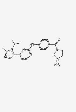 Cc1ncc(-c2ccnc(Nc3ccc(C(=O)N4CC[C@H](N)C4)cc3)n2)n1C(C)C